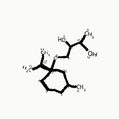 CC1CCCC(OCC(O)C(C)O)(C(C)C)C1